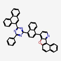 c1ccc(-c2nc(-c3ccc(-c4ccnc5c4oc4ccc6ccccc6c45)c4ccccc34)nc(-c3cc4ccccc4c4ccccc34)n2)cc1